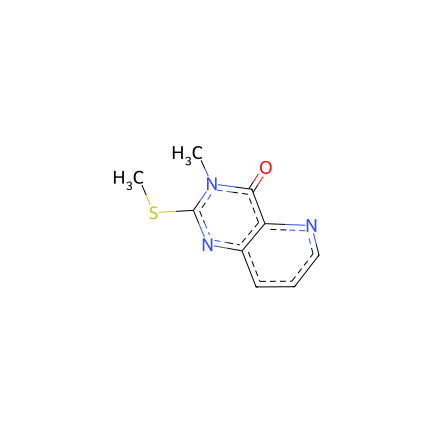 CSc1nc2cccnc2c(=O)n1C